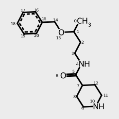 CC(CCNC(=O)C1CCNCC1)OCc1ccccc1